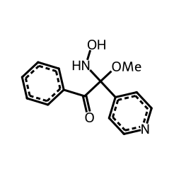 COC(NO)(C(=O)c1ccccc1)c1ccncc1